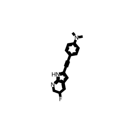 CN(C)c1ccc(C#Cc2cc3c([nH]2)=NCC(F)C=3)cc1